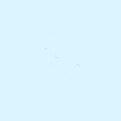 Cc1ccc(-c2ncc3ccccc3n2)nc1Oc1ccccc1F